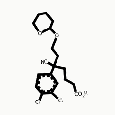 N#CC(CCCC(=O)O)(CCOC1CCCCO1)c1ccc(Cl)c(Cl)c1